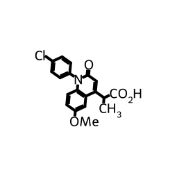 COc1ccc2c(c1)c(C(C)C(=O)O)cc(=O)n2-c1ccc(Cl)cc1